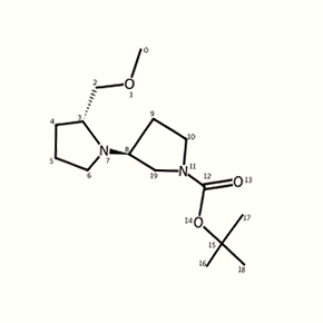 COC[C@H]1CCCN1[C@H]1CCN(C(=O)OC(C)(C)C)C1